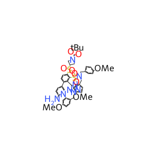 COc1ccc(CN(Cc2ccc(OC)cc2)S(=O)(=O)c2c(S(=O)(=O)C3CN(C(=O)OC(C)(C)C)C3)ccc(-c3ccc(N)nc3)c2-c2nnn(Cc3ccc(OC)cc3)n2)cc1